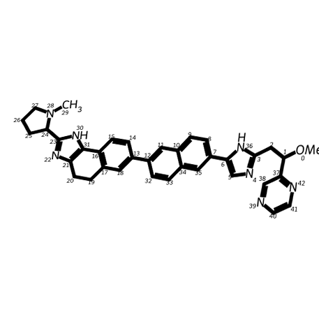 COC(Cc1ncc(-c2ccc3cc(-c4ccc5c(c4)CCc4nc(C6CCCN6C)[nH]c4-5)ccc3c2)[nH]1)c1cnccn1